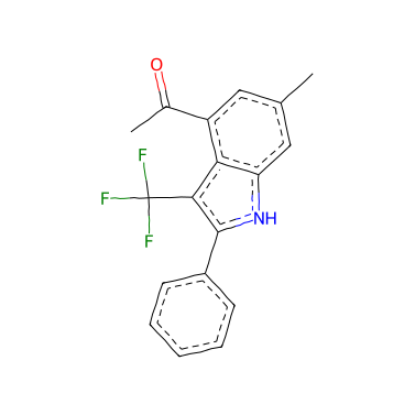 CC(=O)c1cc(C)cc2[nH]c(-c3ccccc3)c(C(F)(F)F)c12